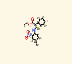 CCOC(=O)c1c(Nc2ccc(C)cc2[N+](=O)[O-])sc2ccccc12